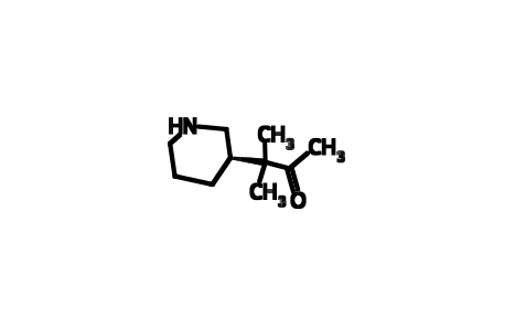 CC(=O)C(C)(C)[C@H]1CCCNC1